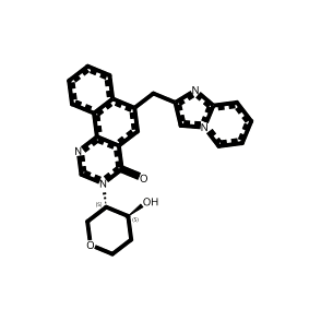 O=c1c2cc(Cc3cn4ccccc4n3)c3ccccc3c2ncn1[C@H]1COCC[C@@H]1O